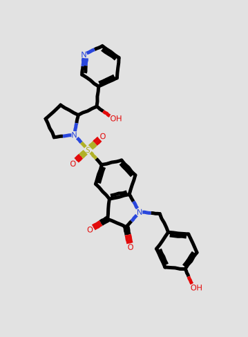 O=C1C(=O)N(Cc2ccc(O)cc2)c2ccc(S(=O)(=O)N3CCCC3C(O)c3cccnc3)cc21